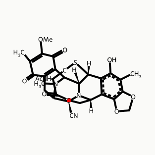 COC1=C(C)C(=O)C2=C(C1=O)C1[C@@H]3[C@@H]4SCC(NC(C)=O)C(=O)OC[C@@H](c5c6c(c(C)c(O)c54)OCO6)N3[C@@H](C#N)C(C2)N1C